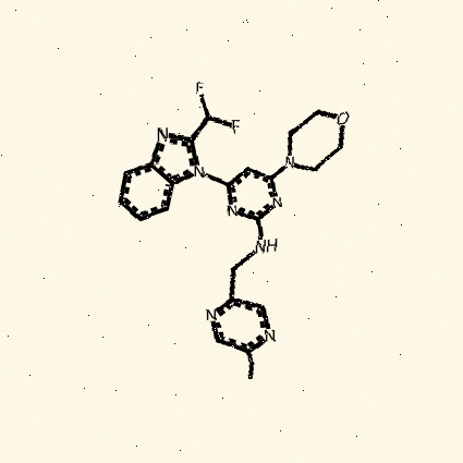 Cc1cnc(CNc2nc(N3CCOCC3)cc(-n3c(C(F)F)nc4ccccc43)n2)cn1